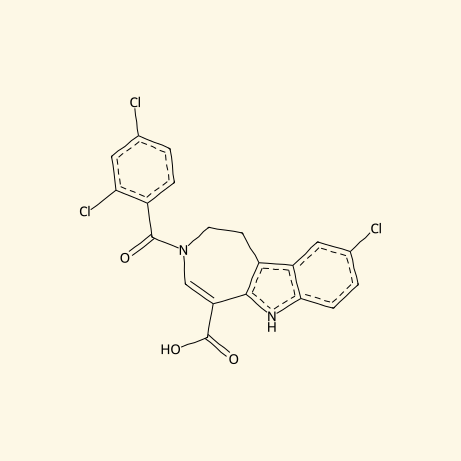 O=C(O)C1=CN(C(=O)c2ccc(Cl)cc2Cl)CCc2c1[nH]c1ccc(Cl)cc21